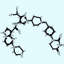 O=C1CCN(c2ccc(CN3CCC(n4cc(NC(=O)c5cnn6ccc(N7CCOCC7)nc56)c(C(F)F)n4)CC3)cc2)C(=O)N1